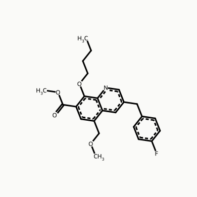 CCCCOc1c(C(=O)OC)cc(COC)c2cc(Cc3ccc(F)cc3)cnc12